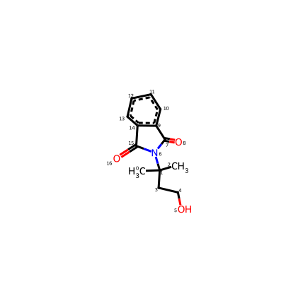 CC(C)(CCO)N1C(=O)c2ccccc2C1=O